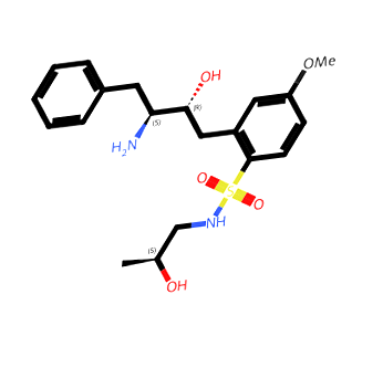 COc1ccc(S(=O)(=O)NC[C@H](C)O)c(C[C@@H](O)[C@@H](N)Cc2ccccc2)c1